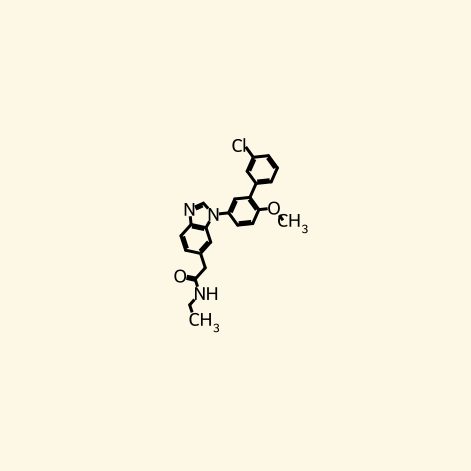 CCNC(=O)Cc1ccc2ncn(-c3ccc(OC)c(-c4cccc(Cl)c4)c3)c2c1